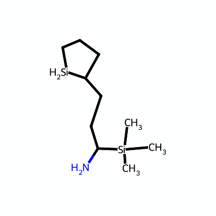 C[Si](C)(C)C(N)CCC1CCC[SiH2]1